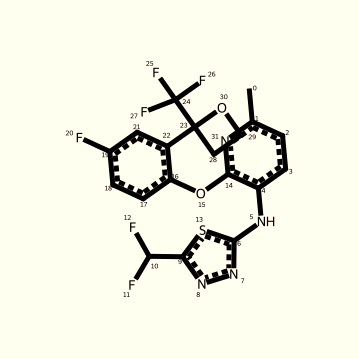 Cc1ccc(Nc2nnc(C(F)F)s2)c(Oc2ccc(F)cc2C2(C(F)(F)F)CCO2)n1